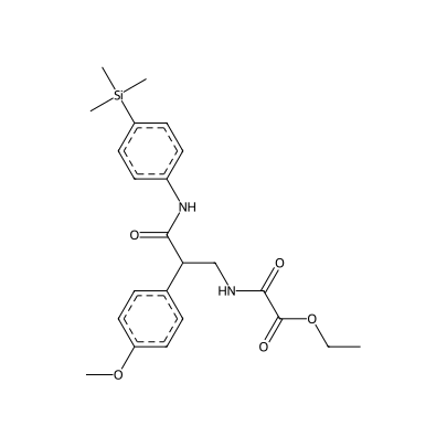 CCOC(=O)C(=O)NCC(C(=O)Nc1ccc([Si](C)(C)C)cc1)c1ccc(OC)cc1